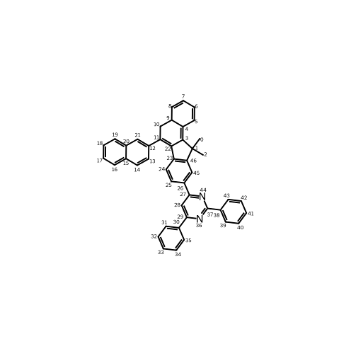 CC1(C)C2=C3C=CC=CC3CC(c3ccc4ccccc4c3)=C2c2ccc(-c3cc(-c4ccccc4)nc(-c4ccccc4)n3)cc21